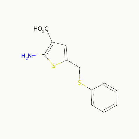 Nc1sc(CSc2ccccc2)cc1C(=O)O